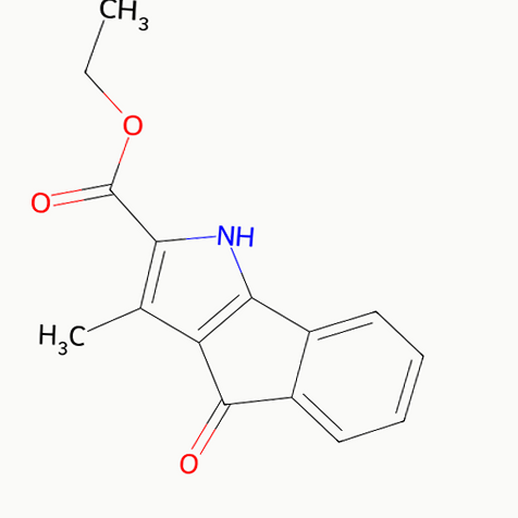 CCOC(=O)c1[nH]c2c(c1C)C(=O)c1ccccc1-2